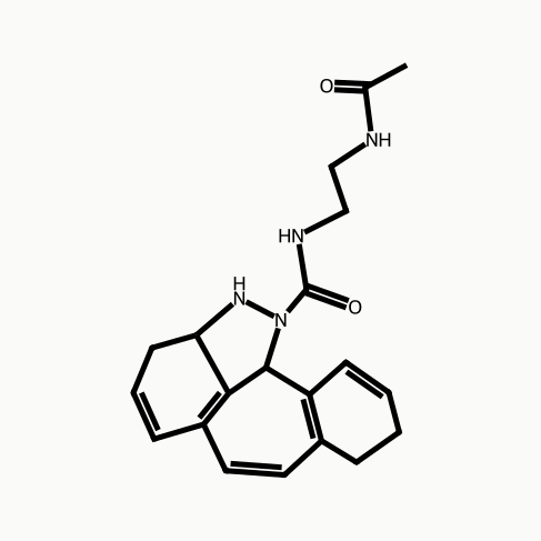 CC(=O)NCCNC(=O)N1NC2CC=CC3=C2C1C1=C(C=C3)CCC=C1